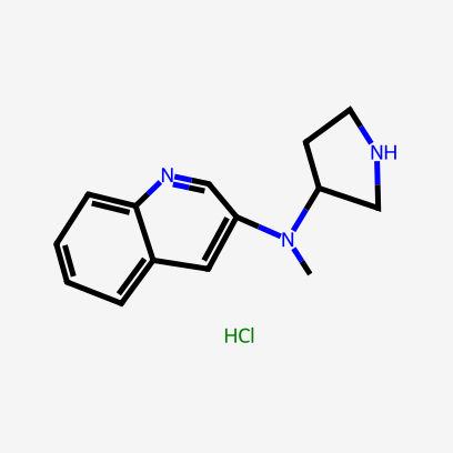 CN(c1cnc2ccccc2c1)C1CCNC1.Cl